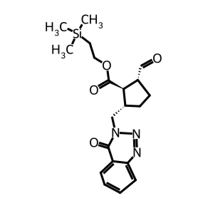 C[Si](C)(C)CCOC(=O)[C@@H]1[C@@H](Cn2nnc3ccccc3c2=O)CC[C@H]1C=O